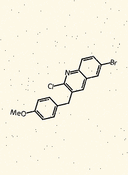 COc1ccc(Cc2cc3cc(Br)ccc3nc2Cl)cc1